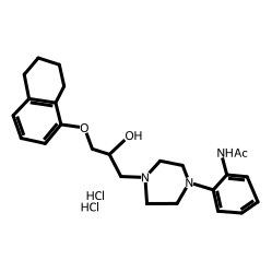 CC(=O)Nc1ccccc1N1CCN(CC(O)COc2cccc3c2CCCC3)CC1.Cl.Cl